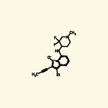 CC#Cc1c(CC)c2cccc(NC3CCN(C)CC3(F)F)c2[s+]1[O-]